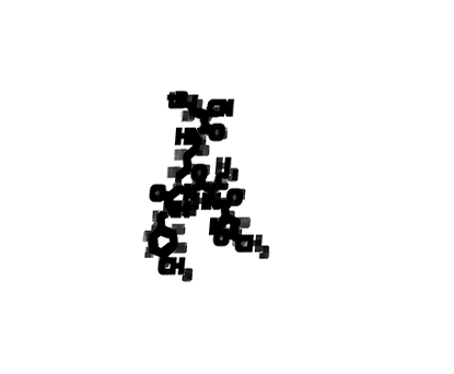 Cc1ccc(CNC(=O)[C@H](CCCCNC(=O)C(C#N)=CC(C)(C)C)NC(=O)[C@@H](C)NC(=O)c2cc(C)on2)cc1